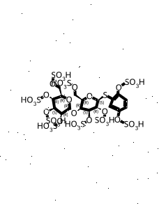 O=S(=O)(O)OC[C@H]1O[C@@H](Sc2cc(OS(=O)(=O)O)ccc2OS(=O)(=O)O)[C@H](OS(=O)(=O)O)[C@@H](OS(=O)(=O)O)[C@@H]1O[C@H]1O[C@H](COS(=O)(=O)O)[C@@H](OS(=O)(=O)O)[C@H](OS(=O)(=O)O)[C@H]1OS(=O)(=O)O